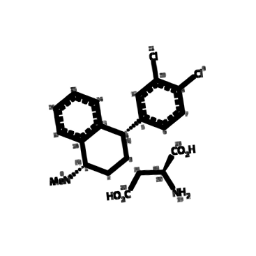 CN[C@H]1CC[C@@H](c2ccc(Cl)c(Cl)c2)c2ccccc21.N[C@@H](CC(=O)O)C(=O)O